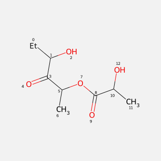 CCC(O)C(=O)C(C)OC(=O)C(C)O